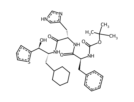 CC(C)(C)OC(=O)N[C@@H](Cc1ccccc1)C(=O)N[C@@H](Cc1c[nH]cn1)C(=O)N[C@H](CC1CCCCC1)[C@H](O)c1cccs1